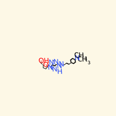 CN(C)c1ccc(/C=C/C=N/Nc2ncnc3c2ncn3[C@H]2CC[C@@H](CO)O2)cc1